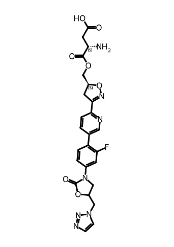 N[C@@H](CC(=O)O)C(=O)OC[C@@H]1CC(c2ccc(-c3ccc(N4CC(Cn5ccnn5)OC4=O)cc3F)cn2)=NO1